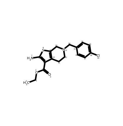 CCOC(=O)c1c(N)sc2c1CCN(Cc1ccc(Cl)cc1)C2